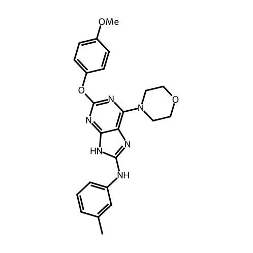 COc1ccc(Oc2nc(N3CCOCC3)c3nc(Nc4cccc(C)c4)[nH]c3n2)cc1